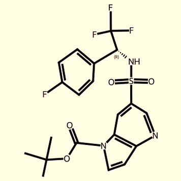 CC(C)(C)OC(=O)n1ccc2ncc(S(=O)(=O)N[C@H](c3ccc(F)cc3)C(F)(F)F)cc21